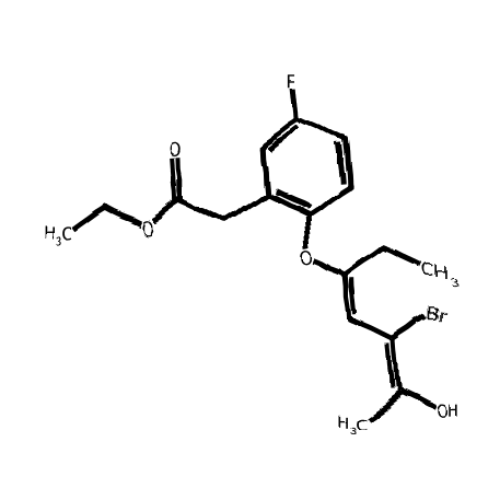 CCOC(=O)Cc1cc(F)ccc1O/C(=C/C(Br)=C(\C)O)CC